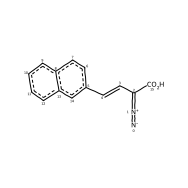 [N-]=[N+]=C(/C=C/c1ccc2ccccc2c1)C(=O)O